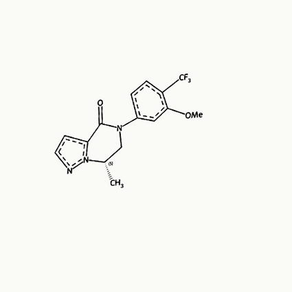 COc1cc(N2C[C@H](C)n3nccc3C2=O)ccc1C(F)(F)F